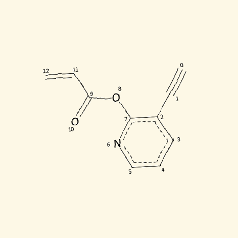 C#Cc1cccnc1OC(=O)C=C